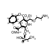 CCOC(=O)C1=C(COCCN)NC(C)=C(C(=O)OC)[C@@H]1c1ccccc1Cl.CCS(=O)(=O)O